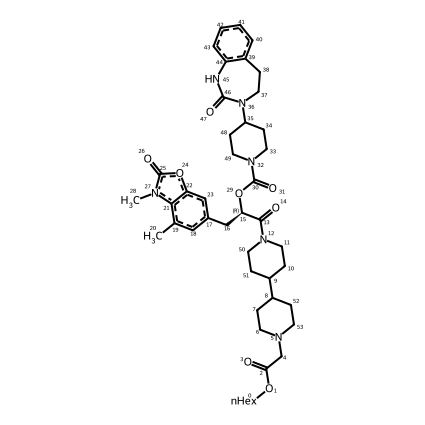 CCCCCCOC(=O)CN1CCC(C2CCN(C(=O)[C@@H](Cc3cc(C)c4c(c3)oc(=O)n4C)OC(=O)N3CCC(N4CCc5ccccc5NC4=O)CC3)CC2)CC1